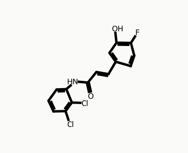 O=C(C=Cc1ccc(F)c(O)c1)Nc1cccc(Cl)c1Cl